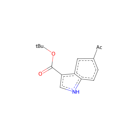 CC(=O)c1ccc2[nH]cc(C(=O)OC(C)(C)C)c2c1